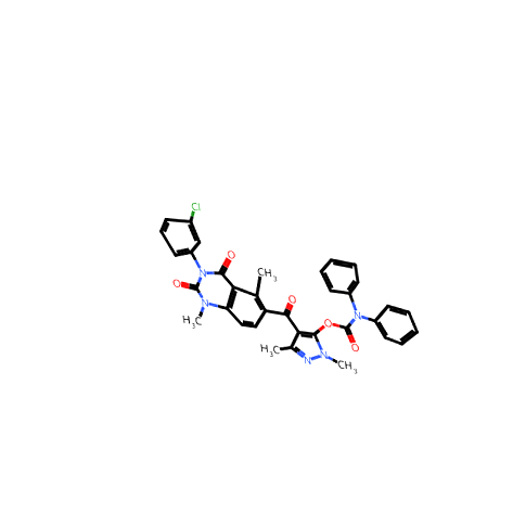 Cc1nn(C)c(OC(=O)N(c2ccccc2)c2ccccc2)c1C(=O)c1ccc2c(c1C)c(=O)n(-c1cccc(Cl)c1)c(=O)n2C